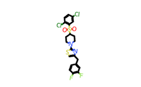 O=S(=O)(c1cc(Cl)ccc1Cl)C1CCN(c2nc(Cc3ccc(F)c(F)c3)cs2)CC1